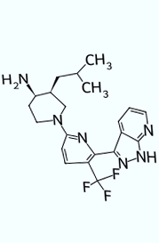 CC(C)C[C@H]1CN(c2ccc(C(F)(F)F)c(-c3n[nH]c4ncccc34)n2)CC[C@H]1N